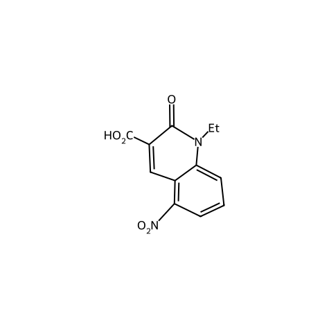 CCn1c(=O)c(C(=O)O)cc2c([N+](=O)[O-])cccc21